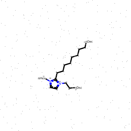 CCCCCCCCCCCCCCCCCCc1n(CCCCCC)cc[n+]1CCCCCCCCCCCC